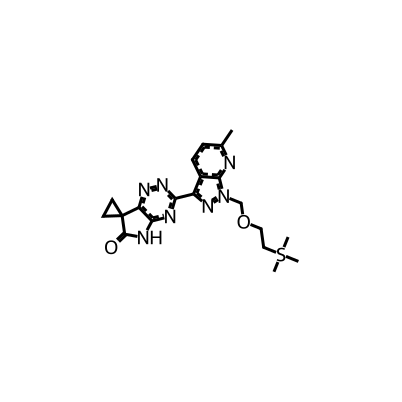 Cc1ccc2c(-c3nnc4c(n3)NC(=O)C43CC3)nn(COCCS(C)(C)C)c2n1